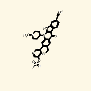 C#Cc1ccc2c(c1)[nH]c1c2c(=O)c2cc(CC(C)C)c(-c3cncc(OS(=O)(=O)F)c3)cc2n1C1CCN(C)CC1